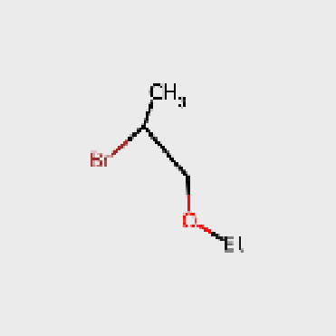 [CH2]COCC(C)Br